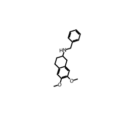 COc1cc2c(cc1OC)CC(NCc1ccccc1)CC2